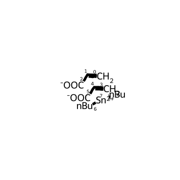 C=CC(=O)[O-].C=CC(=O)[O-].CCC[CH2][Sn+2][CH2]CCC